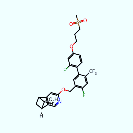 CS(=O)(=O)CCCOc1ccc(-c2cc(COc3cc4c(cn3)[C@H]3CC4[C@@H]3C(=O)O)c(F)cc2C(F)(F)F)c(F)c1